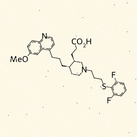 COc1ccc2nccc(CCC[C@@H]3CCN(CCCSc4c(F)cccc4F)C[C@@H]3CCC(=O)O)c2c1